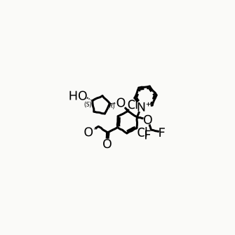 O=C(C[O-])C1=CC(Cl)(O[C@@H]2CC[C@H](O)C2)C(OC(F)F)([n+]2ccccc2)C(Cl)=C1